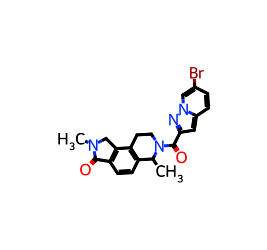 CC1c2ccc3c(c2CCN1C(=O)c1cc2ccc(Br)cn2n1)CN(C)C3=O